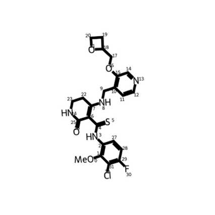 COc1c(NC(=S)C2=C(NCc3ccncc3OCC3CCO3)CCNC2=O)ccc(F)c1Cl